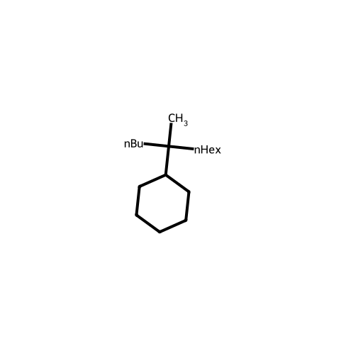 CCCCCCC(C)(CCCC)C1CCCCC1